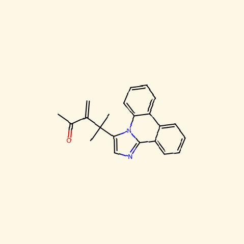 C=C(C(C)=O)C(C)(C)c1cnc2c3ccccc3c3ccccc3n12